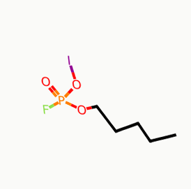 CCCCCOP(=O)(F)OI